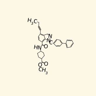 CCC#Cc1ccc(C(=O)NC2CCC(C(=O)OC)CC2)c2c1cnn2Cc1ccc(-c2ccccc2)cc1